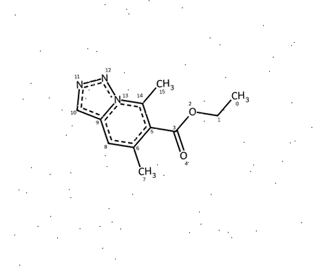 CCOC(=O)c1c(C)cc2cnnn2c1C